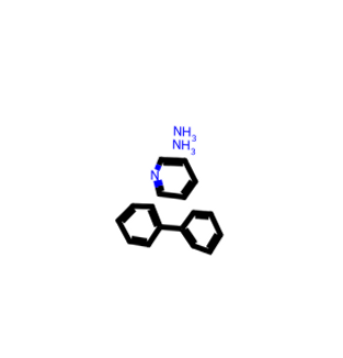 N.N.c1ccc(-c2ccccc2)cc1.c1ccncc1